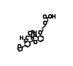 [2H]C(c1ccccc1OCCCOCC(=O)O)N(C(=O)c1ccc(-c2ccco2)cc1)C(C)C